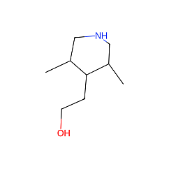 CC1CNCC(C)C1CCO